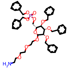 NCCOCCOCCOC1O[C@H](COP(=O)(OCc2ccccc2)OCc2ccccc2)[C@@H](OCc2ccccc2)[C@H](OCc2ccccc2)[C@@H]1OCc1ccccc1